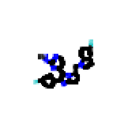 CCNc1nccc(-c2c(-c3ccc(F)cc3)nc3n2C(Cn2ccc4cc(F)ccc42)CC3)n1